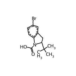 CC(C)(C)C1Cc2cc(Br)ccc2N1C(=O)O